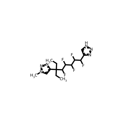 CCC(CC)(c1cn(C)nn1)C(F)C(F)C(F)C(F)C(F)c1c[nH]nn1